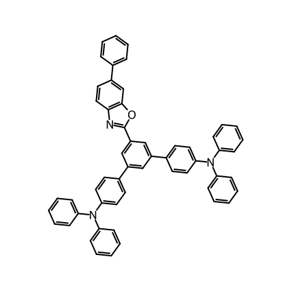 c1ccc(-c2ccc3nc(-c4cc(-c5ccc(N(c6ccccc6)c6ccccc6)cc5)cc(-c5ccc(N(c6ccccc6)c6ccccc6)cc5)c4)oc3c2)cc1